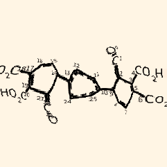 O=C=C1C(C(=O)O)=C(C(=O)O)C=CC1c1ccc(C2C=CC(C(=O)O)=C(C(=O)O)C2=C=O)cc1